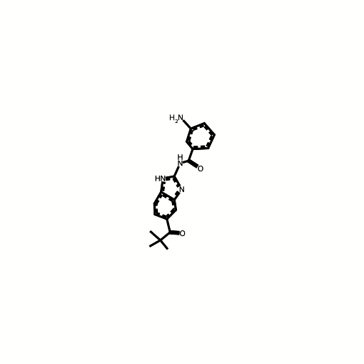 CC(C)(C)C(=O)c1ccc2[nH]c(NC(=O)c3cccc(N)c3)nc2c1